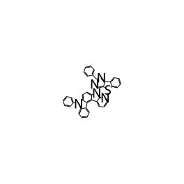 c1ccc(-c2nc(-n3c4ccc5c(c6ccccc6n5-c5ccccc5)c4c4cccnc43)c3sc4ccccc4c3n2)cc1